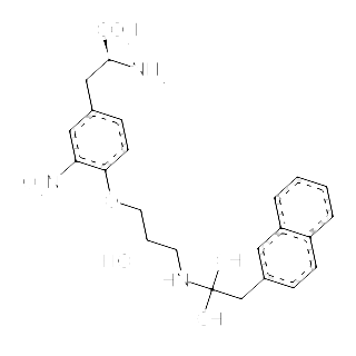 CC(C)(Cc1ccc2ccccc2c1)NC[C@H](O)COc1ccc(C[C@H](N)C(=O)O)cc1[N+](=O)[O-]